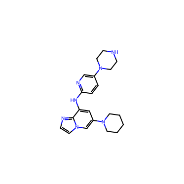 c1cn2cc(N3CCCCC3)cc(Nc3ccc(N4CCNCC4)cn3)c2n1